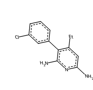 CCc1cc(N)nc(N)c1-c1cccc(Cl)c1